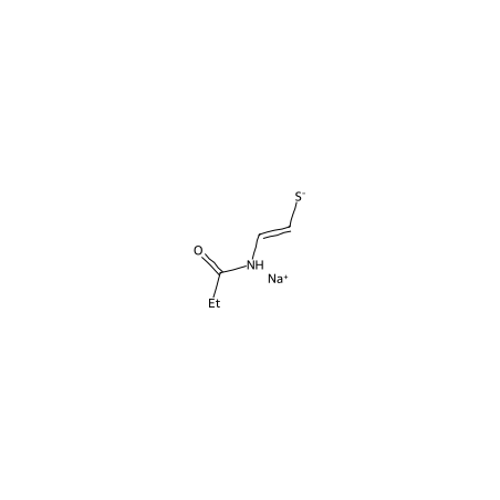 CCC(=O)NC=C[S-].[Na+]